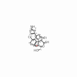 CCO[C@H]1[C@@H](S)O[C@H](CO)[C@H](O)C1(c1cc(Cl)cnc1C)n1cc(-c2csc(N)n2)nn1